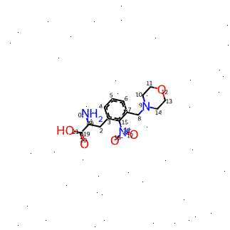 N[C@@H](Cc1cccc(CN2CCOCC2)c1[N+](=O)[O-])C(=O)O